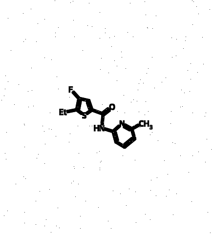 CCc1sc(C(=O)Nc2cccc(C)n2)cc1F